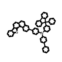 c1ccc(-c2ccc(N(c3ccc(-c4ccc5c(ccc6ccc7c8ccccc8sc7c65)c4)cc3)c3cccc(C4(c5ccccc5)c5ccccc5-c5ccccc54)c3)cc2)cc1